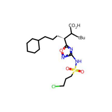 CC(C)(C)C(C(=O)O)[C@@H](CCCC1CCCCC1)c1nc(NS(=O)(=O)CCCCl)no1